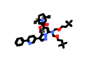 CC(C)(C)OC(=O)N1[C@@H]2CC[C@H]1C=C(c1cc(N(COCC[Si](C)(C)C)COCC[Si](C)(C)C)n3ncc(-c4ccc(-c5ccccc5)nc4)c3n1)C2